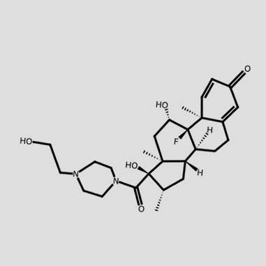 C[C@H]1C[C@H]2[C@@H]3CCC4=CC(=O)C=C[C@]4(C)[C@@]3(F)[C@@H](O)C[C@]2(C)[C@@]1(O)C(=O)N1CCN(CCO)CC1